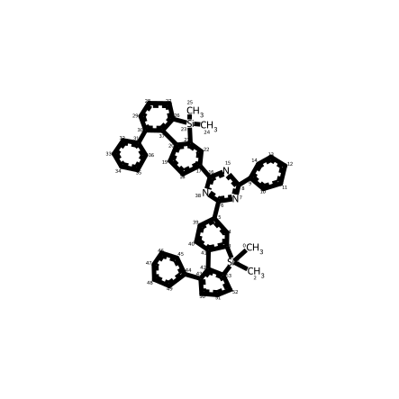 C[Si]1(C)c2cc(-c3nc(-c4ccccc4)nc(-c4ccc5c(c4)[Si](C)(C)c4cccc(-c6ccccc6)c4-5)n3)ccc2-c2c(-c3ccccc3)cccc21